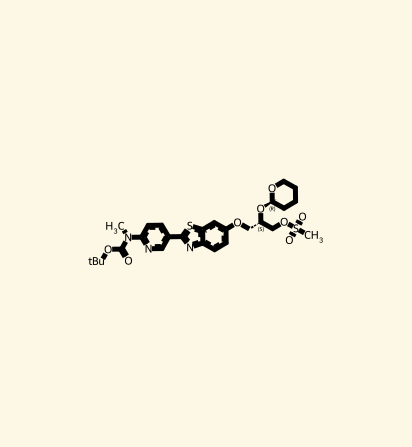 CN(C(=O)OC(C)(C)C)c1ccc(-c2nc3ccc(OC[C@@H](COS(C)(=O)=O)O[C@@H]4CCCCO4)cc3s2)cn1